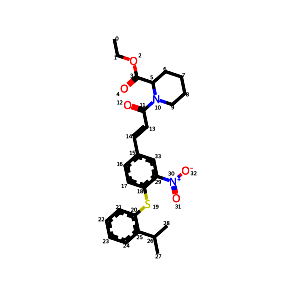 CCOC(=O)C1CCCCN1C(=O)C=Cc1ccc(Sc2ccccc2C(C)C)c([N+](=O)[O-])c1